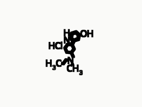 CCCN(CC)CC1CCc2[nH]c3ccc(O)cc3c2C1.Cl